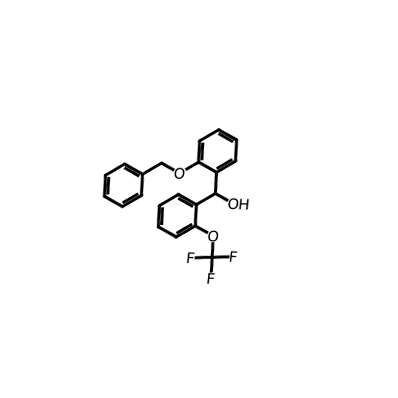 OC(c1ccccc1OCc1ccccc1)c1ccccc1OC(F)(F)F